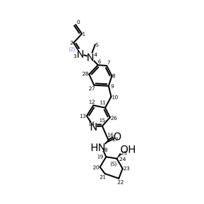 C=C/C=N\N(C)c1ccc(Cc2ccnc(C(=O)NC3CCCC[C@@H]3O)c2)cc1